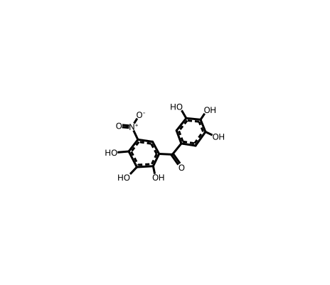 O=C(c1cc(O)c(O)c(O)c1)c1cc([N+](=O)[O-])c(O)c(O)c1O